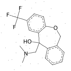 CN(C)CC1(O)c2ccccc2COc2ccc(C(F)(F)F)cc21